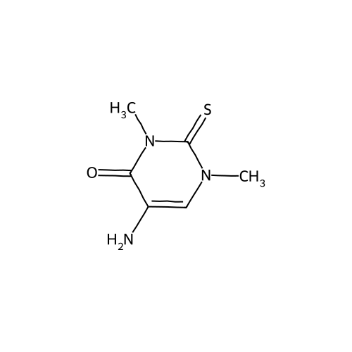 Cn1cc(N)c(=O)n(C)c1=S